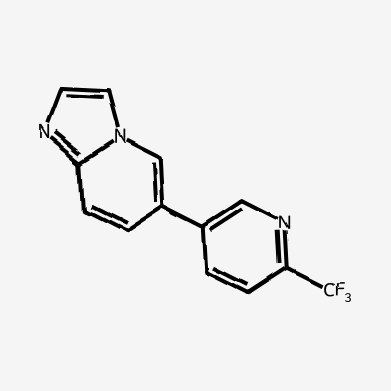 FC(F)(F)c1ccc(-c2ccc3nccn3c2)cn1